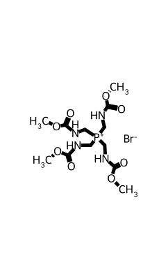 COC(=O)NC[P+](CNC(=O)OC)(CNC(=O)OC)CNC(=O)OC.[Br-]